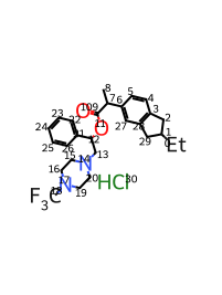 CCC1Cc2ccc(C(C)C(=O)OC(CN3CCN(C(F)(F)F)CC3)c3ccccc3)cc2C1.Cl